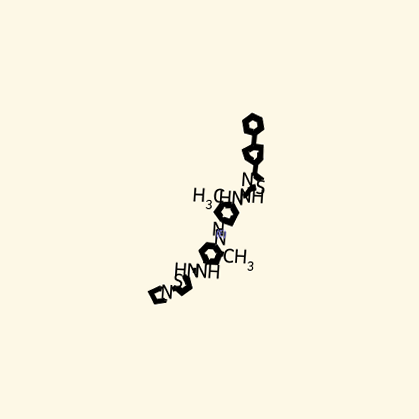 Cc1cc(NNc2ccc(N3CCCC3)s2)ccc1/N=N/c1ccc(NNc2nc(-c3ccc(-c4ccccc4)cc3)cs2)c(C)c1